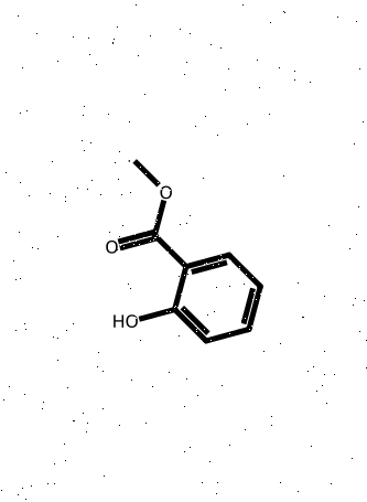 [CH2]OC(=O)c1ccccc1O